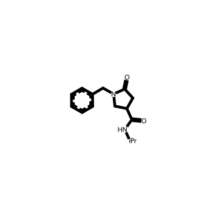 CC(C)NC(=O)C1CC(=O)N(Cc2ccccc2)C1